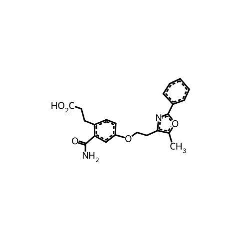 Cc1oc(-c2ccccc2)nc1CCOc1ccc(CCC(=O)O)c(C(N)=O)c1